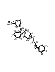 Brc1cccc(C2SC3(CCN(CCCOc4ccccc4)CC3)c3ccccc32)c1